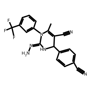 CC1=C(C#N)C(c2ccc(C#N)cc2)N/C(=N\N)N1c1cccc(C(F)(F)F)c1